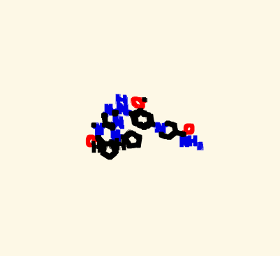 COc1cc(N2CCC(C(N)=O)CC2)ccc1Nc1ncc2c(n1)N(C1CCCC1)[C@@H]1CCC[C@@H]1C(=O)N2C